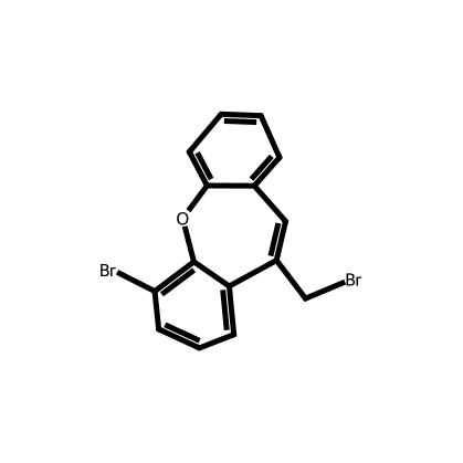 BrCC1=Cc2ccccc2Oc2c(Br)cccc21